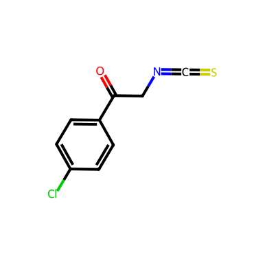 O=C(CN=C=S)c1ccc(Cl)cc1